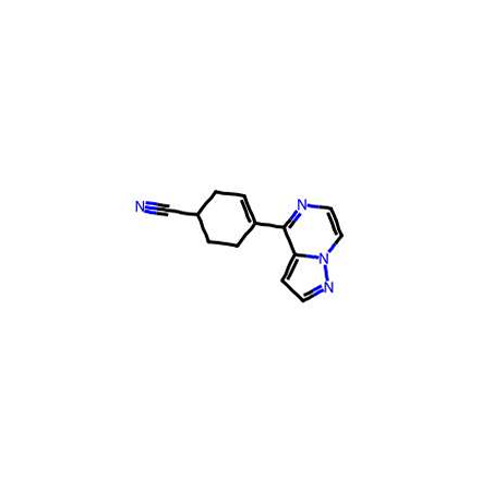 N#CC1CC=C(c2nccn3nccc23)CC1